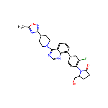 Cc1nc(C2CCN(c3ncnc4c(-c5ccc(N6C(=O)CC[C@H]6CO)c(F)c5)cccc34)CC2)no1